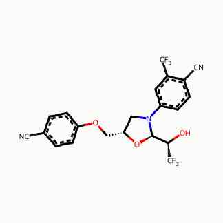 N#Cc1ccc(OC[C@@H]2CN(c3ccc(C#N)c(C(F)(F)F)c3)[C@@H]([C@@H](O)C(F)(F)F)O2)cc1